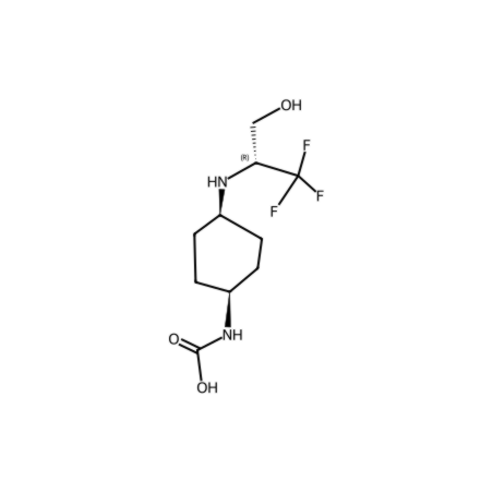 O=C(O)N[C@H]1CC[C@@H](N[C@H](CO)C(F)(F)F)CC1